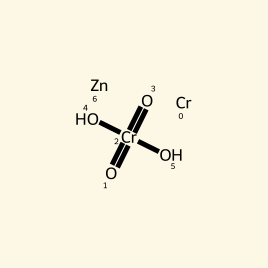 [Cr].[O]=[Cr](=[O])([OH])[OH].[Zn]